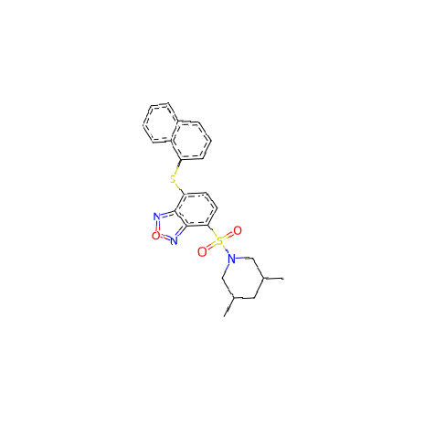 CC1CC(C)CN(S(=O)(=O)c2ccc(Sc3cccc4ccccc34)c3nonc23)C1